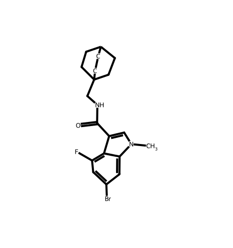 Cn1cc(C(=O)NCC23CCC(CC2)CC3)c2c(F)cc(Br)cc21